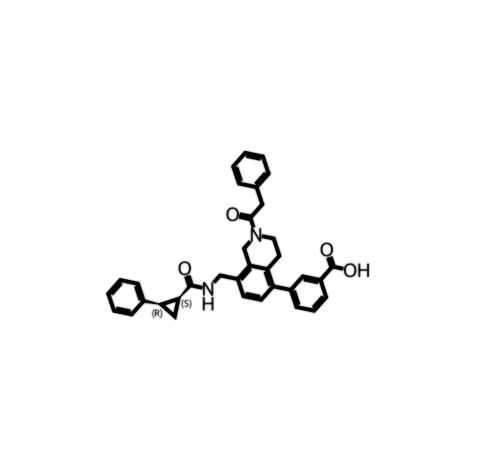 O=C(O)c1cccc(-c2ccc(CNC(=O)[C@H]3C[C@H]3c3ccccc3)c3c2CCN(C(=O)Cc2ccccc2)C3)c1